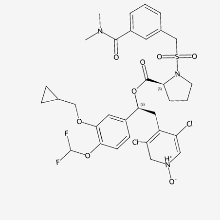 CN(C)C(=O)c1cccc(CS(=O)(=O)N2CCC[C@H]2C(=O)O[C@@H](CC2=C(Cl)C[NH+]([O-])C=C2Cl)c2ccc(OC(F)F)c(OCC3CC3)c2)c1